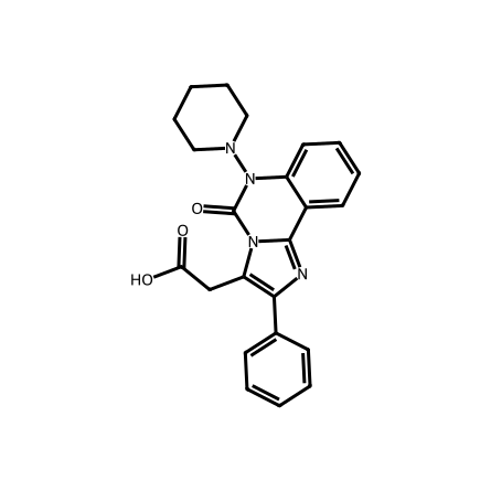 O=C(O)Cc1c(-c2ccccc2)nc2c3ccccc3n(N3CCCCC3)c(=O)n12